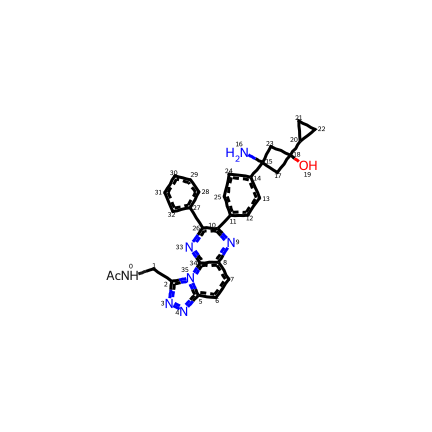 CC(=O)NCc1nnc2ccc3nc(-c4ccc(C5(N)CC(O)(C6CC6)C5)cc4)c(-c4ccccc4)nc3n12